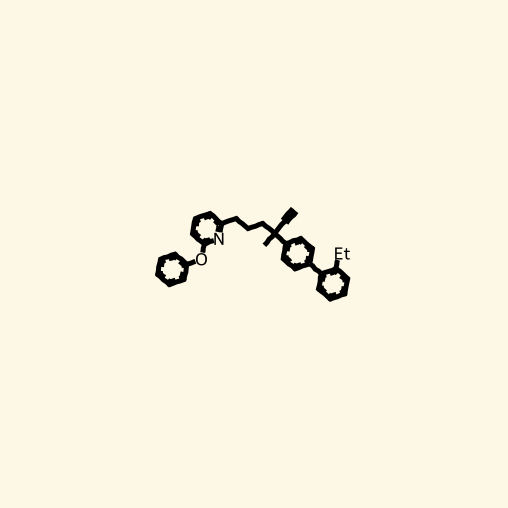 C#CC(C)(CCCc1cccc(Oc2ccccc2)n1)c1ccc(-c2ccccc2CC)cc1